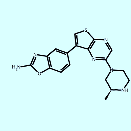 C[C@H]1CN(c2cnc3scc(-c4ccc5oc(N)nc5c4)c3n2)CCN1